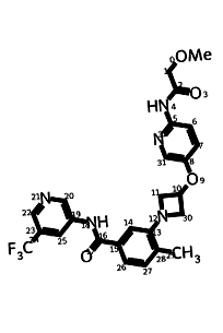 COCC(=O)Nc1ccc(OC2CN(c3cc(C(=O)Nc4cncc(C(F)(F)F)c4)ccc3C)C2)cn1